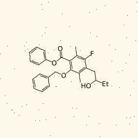 CCC(O)Cc1c(C)c(OCc2ccccc2)c(C(=O)Oc2ccccc2)c(C)c1F